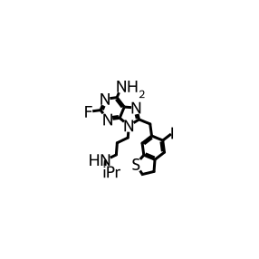 CC(C)NCCCn1c(Cc2cc3c(cc2I)CCS3)nc2c(N)nc(F)nc21